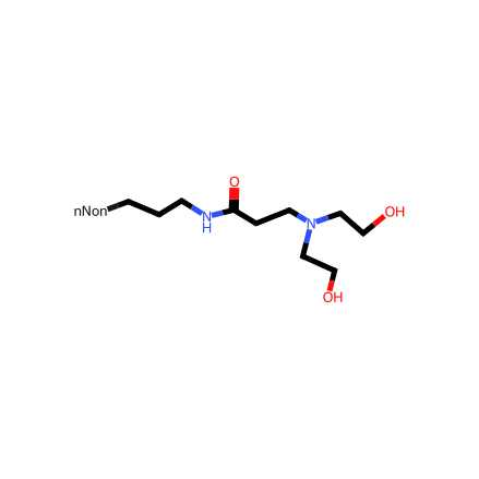 CCCCCCCCCCCCNC(=O)CCN(CCO)CCO